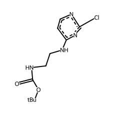 CC(C)(C)OC(=O)NCCNc1ccnc(Cl)n1